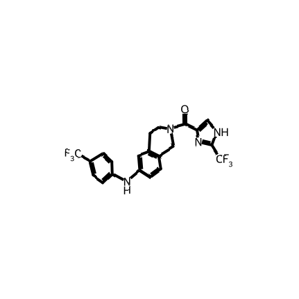 O=C(c1c[nH]c(C(F)(F)F)n1)N1CCc2cc(Nc3ccc(C(F)(F)F)cc3)ccc2C1